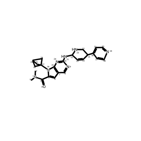 CN(C)C(=O)c1cc2cnc(NC3C=CC(c4ccncc4)CN3)nc2n1C12CC(C1)C2